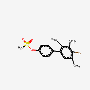 COc1cc(-c2ccc(OS(C)(=O)=O)cc2)c(OC)c(C(=O)O)c1Br